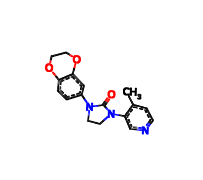 Cc1ccncc1N1CCN(c2ccc3c(c2)OCCO3)C1=O